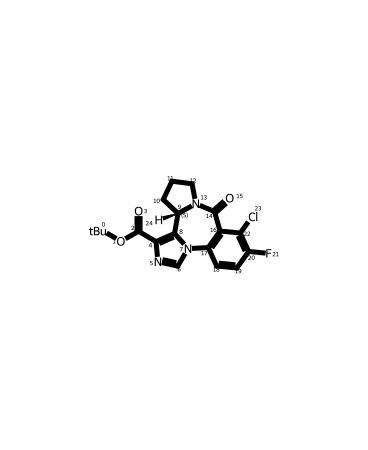 CC(C)(C)OC(=O)c1ncn2c1[C@@H]1CCCN1C(=O)c1c-2ccc(F)c1Cl